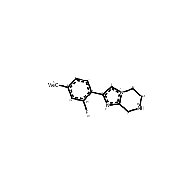 COc1ccc(-c2cn3c(n2)CNCC3)c(F)c1